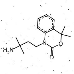 CC(C)(N)CCN1C(=O)OC(C)(C)c2ccccc21